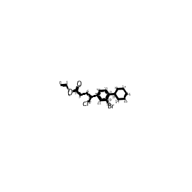 CCOC(=O)CCC(Cl)c1ccc(C2CCCCC2)c(Br)c1